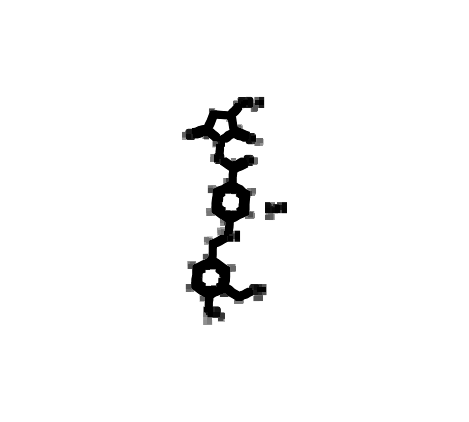 O=C(ON1C(=O)CC(S(=O)(=O)O)C1=O)c1ccc(NCc2ccc([N+](=O)[O-])c(CO)c2)cc1.[NaH]